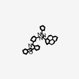 C1=CC2=CCc3ccc(-c4nc(-c5ccccc5)nc(-c5cccc(-c6nc7c8ccccc8oc7c7ccccc67)c5)n4)c4c3C2C(=C1)C=C4